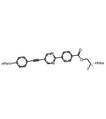 CCCCCC[C@H](F)COC(=O)c1ccc(-c2ncc(C#Cc3ccc(CCCCC)cc3)cn2)cc1